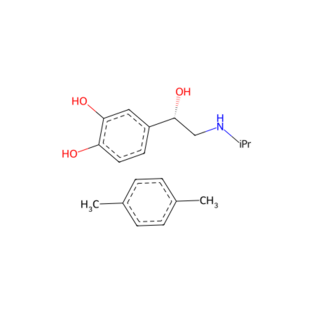 CC(C)NC[C@@H](O)c1ccc(O)c(O)c1.Cc1ccc(C)cc1